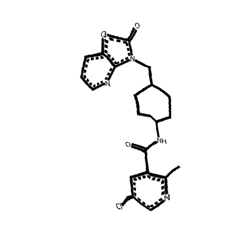 Cc1ncc(Cl)cc1C(=O)NC1CCC(Cn2c(=O)oc3cccnc32)CC1